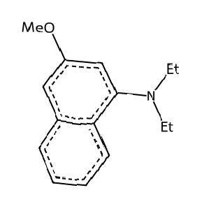 CCN(CC)c1cc(OC)cc2ccccc12